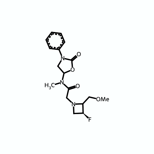 COCC1[C@@H](F)CN1CC(=O)N(C)C1CN(c2ccccc2)C(=O)O1